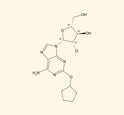 Nc1nc(OC2CCCC2)nc2c1ncn2[C@@H]1O[C@H](CO)[C@@H](O)[C@@H]1Cl